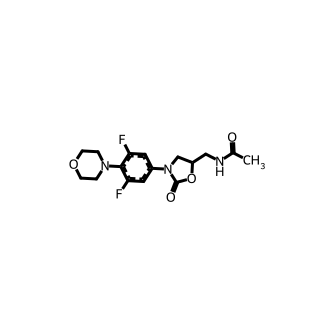 CC(=O)NCC1CN(c2cc(F)c(N3CCOCC3)c(F)c2)C(=O)O1